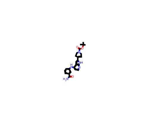 CC(C)(C)OC(=O)N1CC=C(c2cc3c(Nc4cccc(C(N)=O)c4)ccnc3[nH]2)CC1